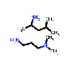 CC(C)CC(C)N.CN(C)CCCN